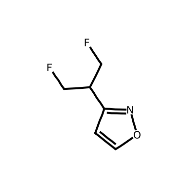 FCC(CF)c1ccon1